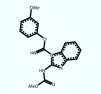 COC(=O)Nc1nc2ccccc2n1C(=N)Oc1cccc(OC)c1